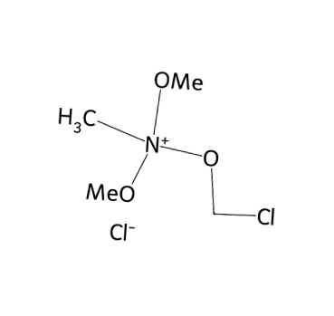 CO[N+](C)(OC)OCCl.[Cl-]